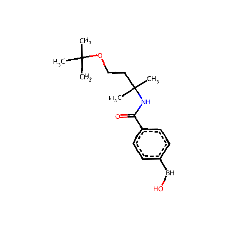 CC(C)(CCOC(C)(C)C)NC(=O)c1ccc(BO)cc1